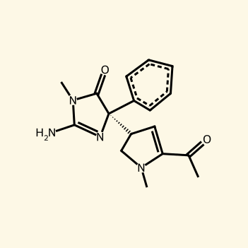 CC(=O)C1=CC([C@]2(c3ccccc3)N=C(N)N(C)C2=O)CN1C